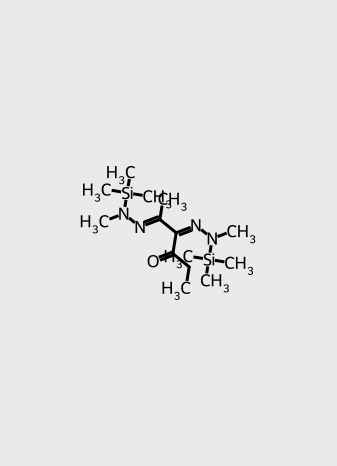 CCC(=O)C(=N\N(C)[Si](C)(C)C)/C(C)=N/N(C)[Si](C)(C)C